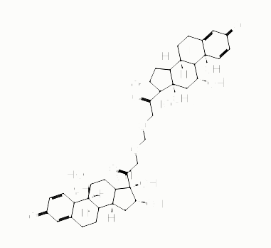 C[C@]12C=CC(=O)C=C1CC[C@H]1[C@@H]3C[C@@H](O)[C@](O)(C(=O)COCOCC(=O)[C@]4(O)[C@@H](O)C[C@@H]5[C@H]6CCC7=CC(=O)C=C[C@@]7(C)[C@]6(F)[C@H](O)C[C@]54C)[C@@]3(C)C[C@H](O)[C@@]12F